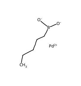 CCCCCB([O-])[O-].[Pd+2]